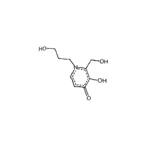 O=c1ccn(CCCO)c(CO)c1O